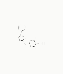 Cc1cc(Nc2ccn(C3=CCCC=C3)n2)cc(C)c1O